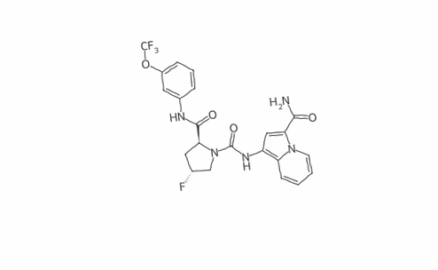 NC(=O)c1cc(NC(=O)N2C[C@H](F)C[C@H]2C(=O)Nc2cccc(OC(F)(F)F)c2)c2ccccn12